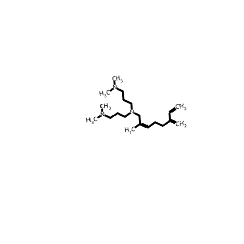 C=CC(=C)CC/C=C(/C)CN(CCCN(C)C)CCCN(C)C